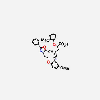 COc1ccc(OCCc2nc(-c3ccccc3)oc2C)c(/C=C/CCC(Oc2ccccc2OC)C(=O)O)c1